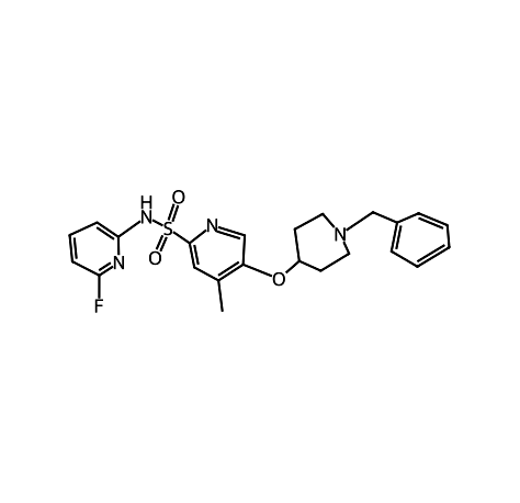 Cc1cc(S(=O)(=O)Nc2cccc(F)n2)ncc1OC1CCN(Cc2ccccc2)CC1